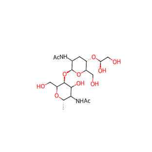 CC(=O)NC1C[C@H](O[C@H](O)CO)C(CO)O[C@H]1O[C@@H]1C(CO)O[C@@H](C)C(NC(C)=O)C1O